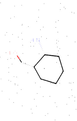 N[C@@H]1CCCC[C@@H]1CO